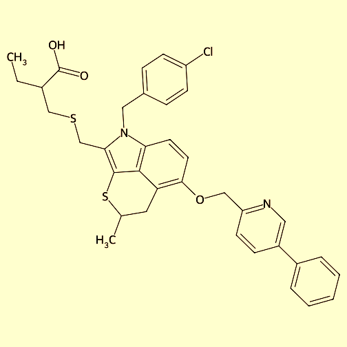 CCC(CSCc1c2c3c(c(OCc4ccc(-c5ccccc5)cn4)ccc3n1Cc1ccc(Cl)cc1)CC(C)S2)C(=O)O